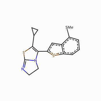 CSc1cccc2sc(C3=C(C4CC4)SC4=NCCN43)cc12